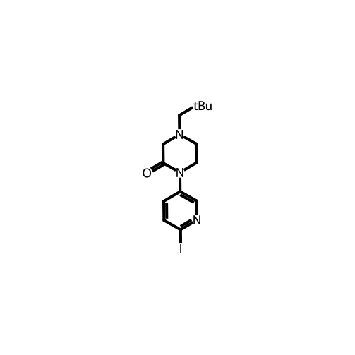 CC(C)(C)CN1CCN(c2ccc(I)nc2)C(=O)C1